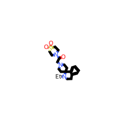 CCN1CCc2ccccc2C12CCN(CC(=O)N1CCS(=O)(=O)CC1)CC2